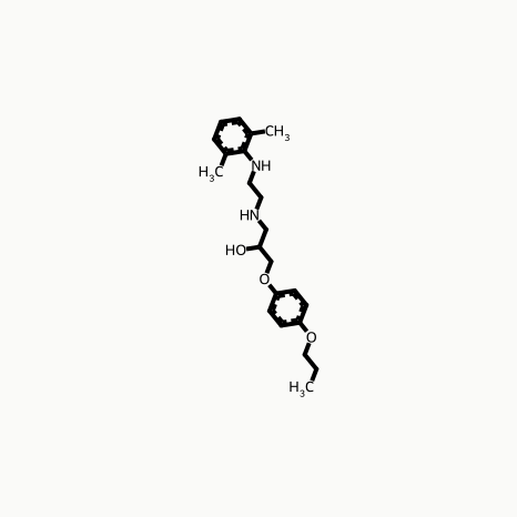 CCCOc1ccc(OCC(O)CNCCNc2c(C)cccc2C)cc1